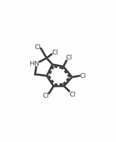 Clc1c(Cl)c(Cl)c2c(c1Cl)CNC2(Cl)Cl